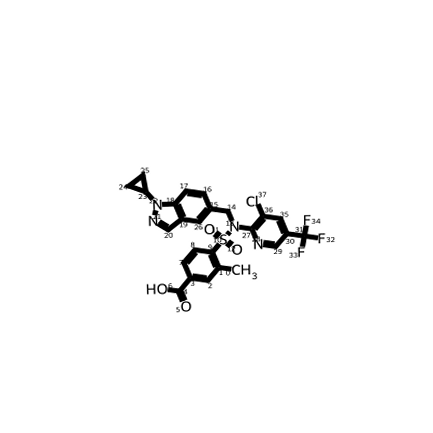 Cc1cc(C(=O)O)ccc1S(=O)(=O)N(Cc1ccc2c(cnn2C2CC2)c1)c1ncc(C(F)(F)F)cc1Cl